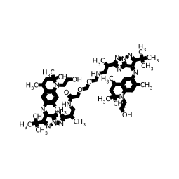 Cc1cc2c(cc1/N=C1/C(C(C)(C)C)=Nn3nc(C(C)CNCOCOCC(=O)NCC(C)c4nc5n(n4)N=C(C(C)(C)C)/C5=N/c4cc5c(cc4C)N(CCO)C(C)(C)CC5C)nc31)C(C)CC(C)(C)N2CCO